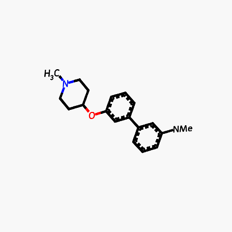 CNc1cccc(-c2cccc(OC3CCN(C)CC3)c2)c1